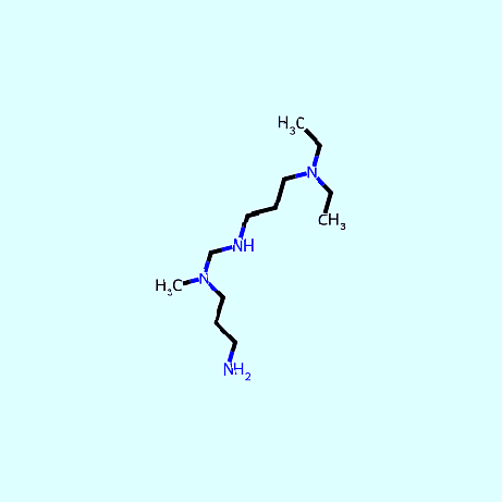 CCN(CC)CCCNCN(C)CCCN